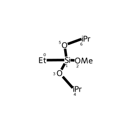 CC[Si](OC)(OC(C)C)OC(C)C